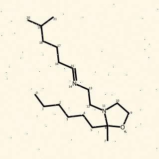 CCCCCCC1(C)OCCN1CCN=CCCCC(C)C